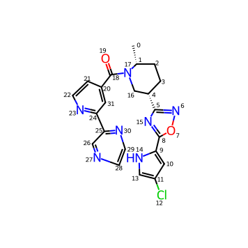 C[C@@H]1CC[C@H](c2noc(-c3cc(Cl)c[nH]3)n2)CN1C(=O)c1ccnc(-c2cnccn2)c1